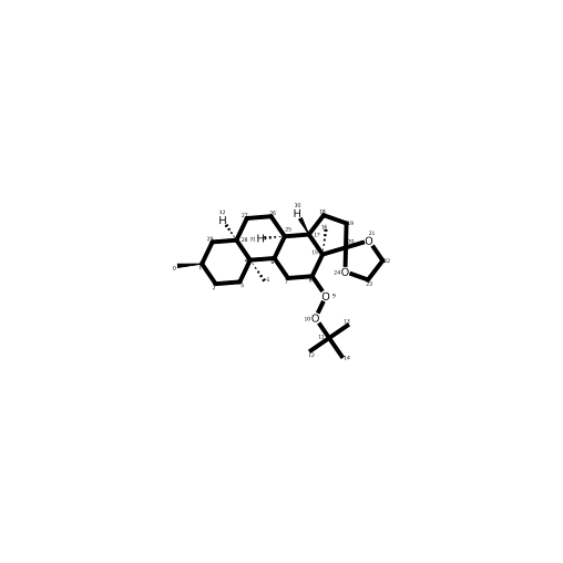 C[C@@H]1CC[C@]2(C)C3CC(OOC(C)(C)C)[C@@]4(C)[C@@H](CCC45OCCO5)[C@@H]3CC[C@@H]2C1